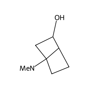 CNC12CCC1C(O)C2